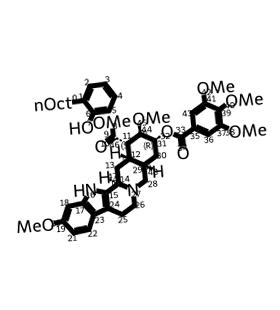 CCCCCCCCc1ccccc1O.COC(=O)[C@H]1[C@H]2C[C@@H]3c4[nH]c5cc(OC)ccc5c4CCN3C[C@H]2C[C@@H](OC(=O)c2cc(OC)c(OC)c(OC)c2)[C@@H]1OC